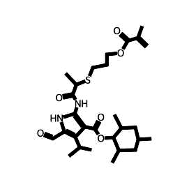 C=C(C)C(=O)OCCCSC(C)C(=O)Nc1[nH]c(C=O)c(C(C)C)c1C(=O)OC1C(C)CC(C)CC1C